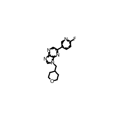 Fc1ccc(-c2cnc3ncn(CC4CCOCC4)c3n2)cn1